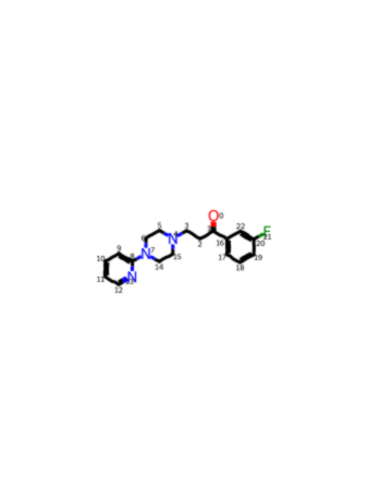 O=C(CCN1CCN(c2ccccn2)CC1)c1cccc(F)c1